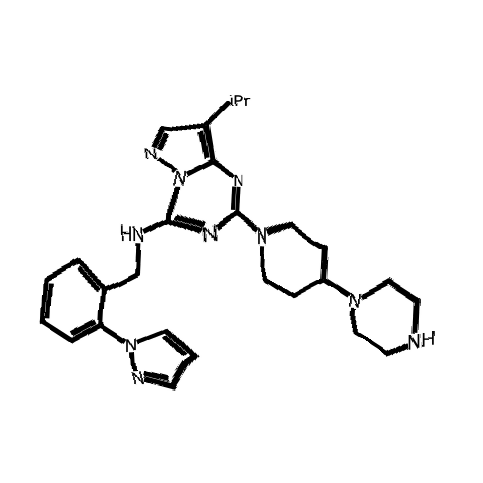 CC(C)c1cnn2c(NCc3ccccc3-n3cccn3)nc(N3CCC(N4CCNCC4)CC3)nc12